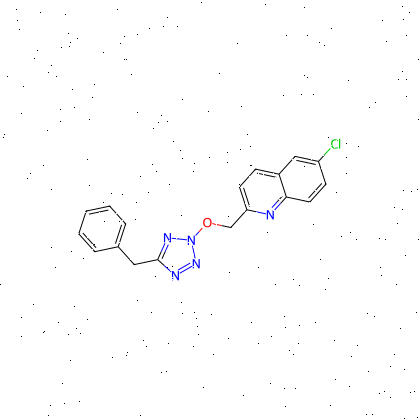 Clc1ccc2nc(COn3nnc(Cc4ccccc4)n3)ccc2c1